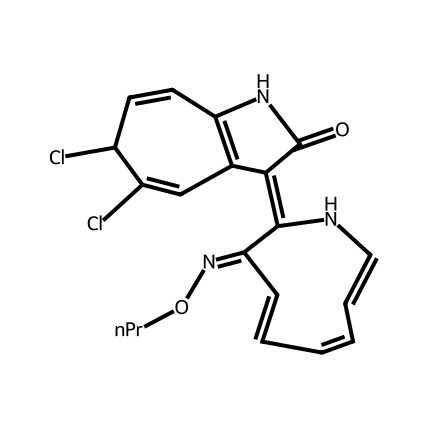 CCCO/N=C1\C=C\C=C/C=C/N\C1=C1/C(=O)NC2=C1C=C(Cl)C(Cl)C=C2